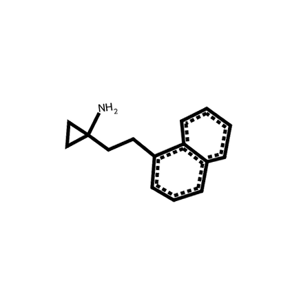 NC1(CCc2cccc3ccccc23)CC1